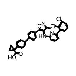 Cc1noc(-c2ccc(-c3ccc(C4(C(=O)O)CC4)cc3)cc2)c1Nc1cccc(-c2cccc(Cl)c2Cl)n1